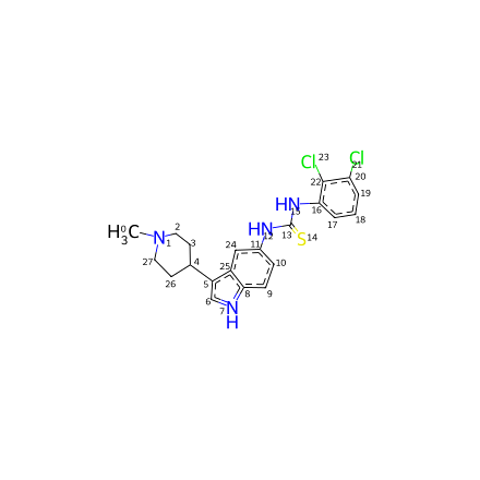 CN1CCC(c2c[nH]c3ccc(NC(=S)Nc4cccc(Cl)c4Cl)cc23)CC1